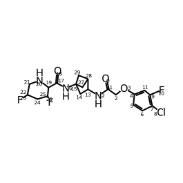 O=C(COc1ccc(Cl)c(F)c1)NC1CC2(NC(=O)C3NCC(F)CC3F)CC1C2